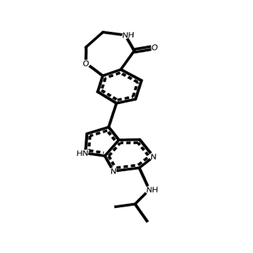 CC(C)Nc1ncc2c(-c3ccc4c(c3)OCCNC4=O)c[nH]c2n1